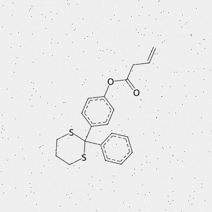 C=CCC(=O)Oc1ccc(C2(c3ccccc3)SCCCS2)cc1